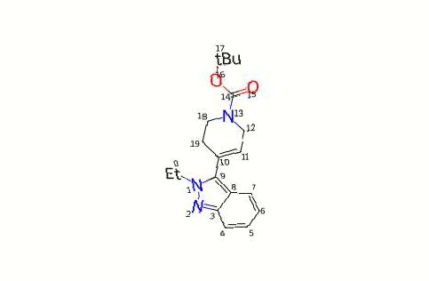 CCn1nc2ccccc2c1C1=CCN(C(=O)OC(C)(C)C)CC1